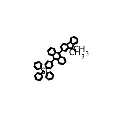 CC1(C)c2ccccc2-c2ccc(-c3c4ccccc4c(-c4ccc([Si](c5ccccc5)(c5ccccc5)c5ccccc5)cc4)c4ccccc34)cc21